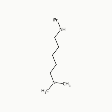 CC(C)NCCCCCN(C)C